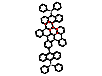 c1ccc(-c2ccccc2-c2c3ccc(-c4c5ccccc5c(N(c5ccccc5)c5ccccc5)c5ccccc45)cc3c(-c3ccccc3-c3ccccc3)c3ccc(-c4c5ccccc5c(N(c5ccccc5)c5ccccc5)c5ccccc45)cc23)cc1